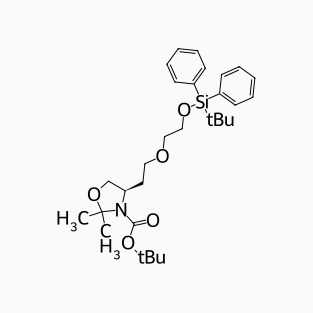 CC(C)(C)OC(=O)N1[C@H](CCOCCO[Si](c2ccccc2)(c2ccccc2)C(C)(C)C)COC1(C)C